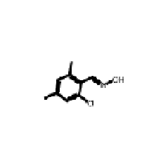 Cc1cc(C)c(C=NO)c(Cl)c1